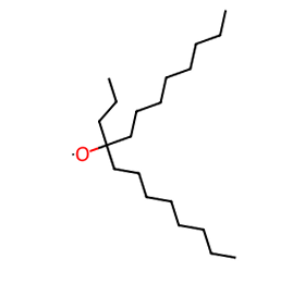 CCCCCCCCC([O])(CCC)CCCCCCCC